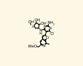 COCc1cc2cc(-c3c(Cl)nc(N)nc3N[C@@H]3C[C@H](CO)[C@@H](O)[C@H]3O)oc2c(C)n1